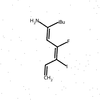 C=C/C(I)=C(F)\C=C(\N)C(C)CC